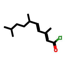 CC(/C=C/C(C)CCC(C)C)=C\C(=O)Cl